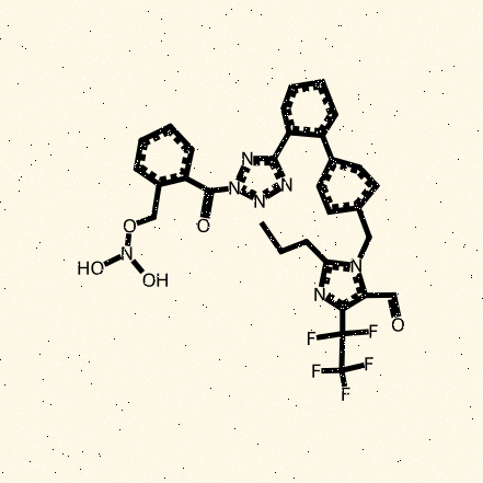 CCCc1nc(C(F)(F)C(F)(F)F)c(C=O)n1Cc1ccc(-c2ccccc2-c2nnn(C(=O)c3ccccc3CON(O)O)n2)cc1